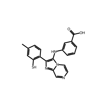 Cc1ccc(-c2nc3cnccn3c2Nc2cccc(C(=O)O)c2)c(S)c1